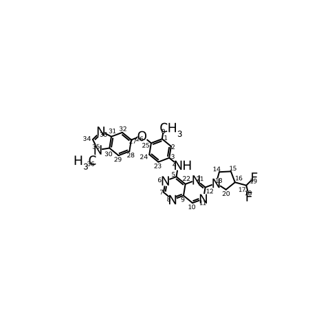 Cc1cc(Nc2ncnc3cnc(N4CCC(C(F)F)C4)nc23)ccc1Oc1ccc2c(c1)ncn2C